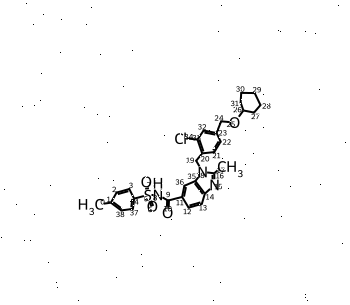 Cc1ccc(S(=O)(=O)NC(=O)c2ccc3nc(C)n(Cc4ccc(COC5CCCCC5)cc4Cl)c3c2)cc1